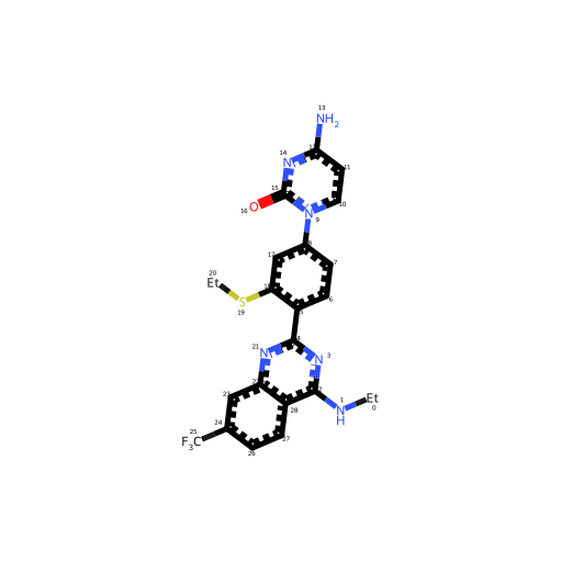 CCNc1nc(-c2ccc(-n3ccc(N)nc3=O)cc2SCC)nc2cc(C(F)(F)F)ccc12